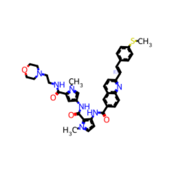 CSc1ccc(/C=C/c2ccc3cc(C(=O)Nc4ccn(C)c4C(=O)Nc4cc(C(=O)NCCN5CCOCC5)n(C)c4)ccc3n2)cc1